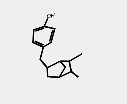 CC1C2CC(Cc3ccc(O)cc3)C(C2)C1C